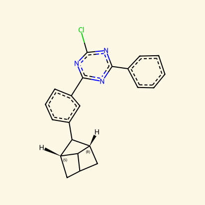 Clc1nc(-c2ccccc2)nc(-c2cccc(C3[C@H]4CC5C[C@@H]3C54)c2)n1